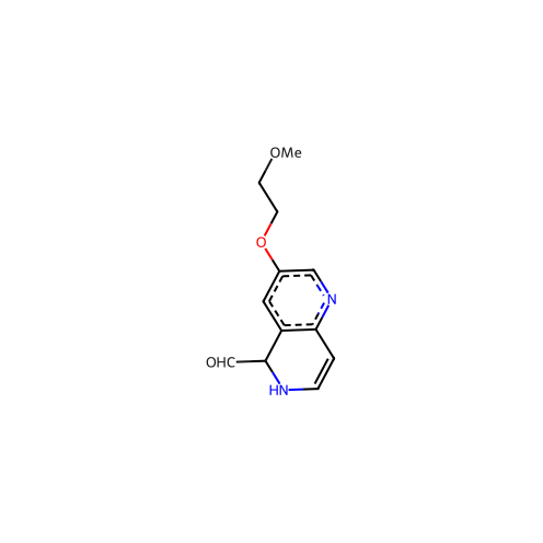 COCCOc1cnc2c(c1)C(C=O)NC=C2